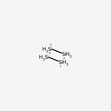 [SiH3][SiH3].[SiH3][SiH3]